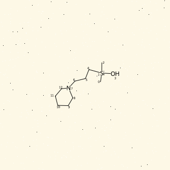 C[Si](C)(O)CCCN1CCCCC1